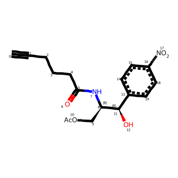 C#CCCCC(=O)N[C@H](COC(C)=O)[C@H](O)c1ccc([N+](=O)[O-])cc1